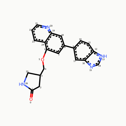 O=C1CC(COc2cc(-c3ccc4[nH]cnc4c3)cc3ncccc23)CN1